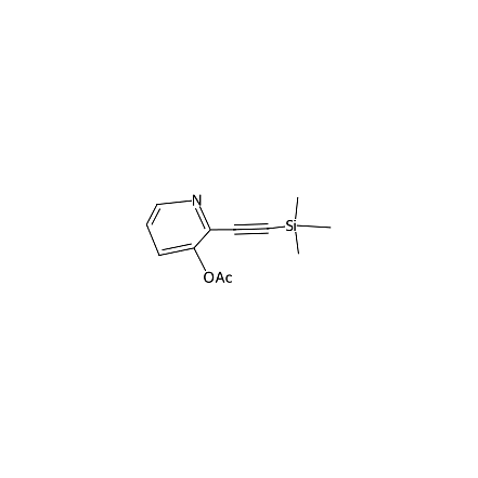 CC(=O)Oc1cccnc1C#C[Si](C)(C)C